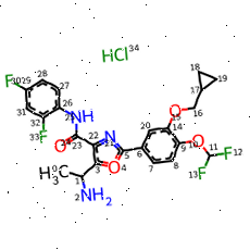 CC(N)c1oc(-c2ccc(OC(F)F)c(OCC3CC3)c2)nc1C(=O)Nc1ccc(F)cc1F.Cl